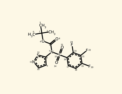 CC(C)(C)OC(=O)N(c1ccns1)S(=O)(=O)c1ccc(F)c(F)c1F